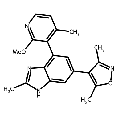 COc1nccc(C)c1-c1cc(-c2c(C)noc2C)cc2[nH]c(C)nc12